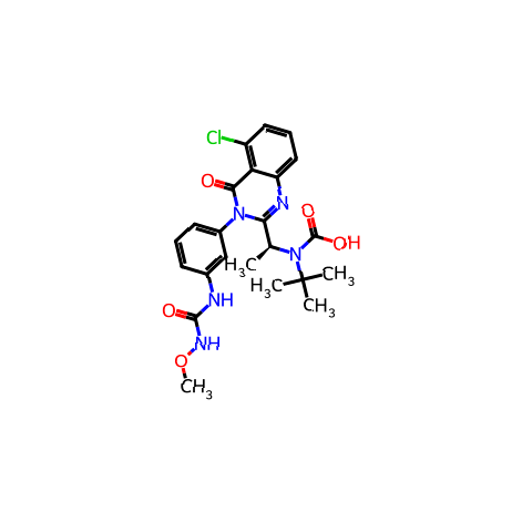 CONC(=O)Nc1cccc(-n2c([C@H](C)N(C(=O)O)C(C)(C)C)nc3cccc(Cl)c3c2=O)c1